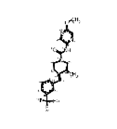 COc1cnc(NC(=O)N2CCC(=Cc3cccc(C(F)(F)F)c3)C(C)C2)cn1